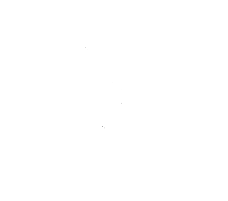 C=C/C=C1/C(=O)N(C(=O)NCc2ccncc2)S/C1=N/C